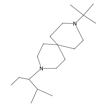 CCC(C(C)C)N1CCC2(CC1)CCN(C(C)(C)C)CC2